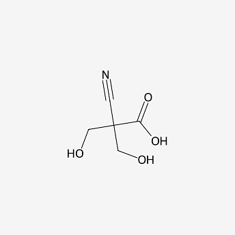 N#CC(CO)(CO)C(=O)O